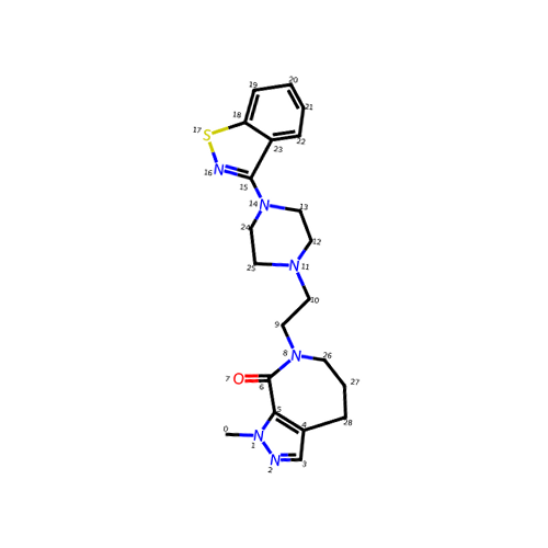 Cn1ncc2c1C(=O)N(CCN1CCN(c3nsc4ccccc34)CC1)CCC2